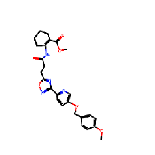 COC(=O)C1=C(NC(=O)CCc2nc(-c3ccc(OCc4ccc(OC)cc4)cn3)no2)CCCC1